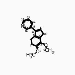 COC1=C(OC)C2=C(CC1)C(c1cccnc1)=CC2